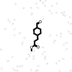 COC(=O)CCC1CCC(C=O)CC1